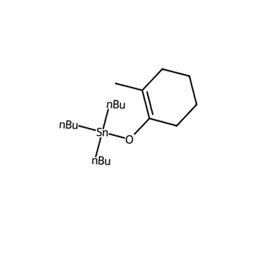 CCC[CH2][Sn]([CH2]CCC)([CH2]CCC)[O]C1=C(C)CCCC1